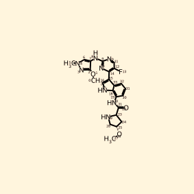 COc1nn(C)cc1Nc1ncc(F)c(-c2c[nH]c3c(NC(=O)C4C[C@H](OC)CN4)cccc23)n1